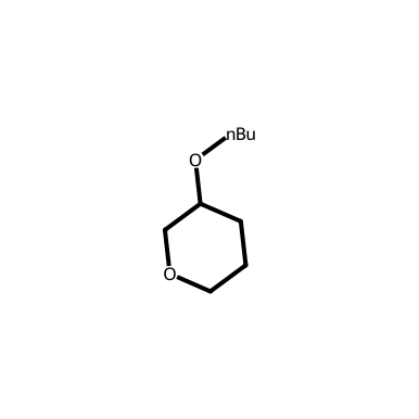 [CH2]CCCOC1CCCOC1